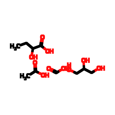 CC(=O)O.CCC(O)C(=O)O.O=CO.OCC(O)CO